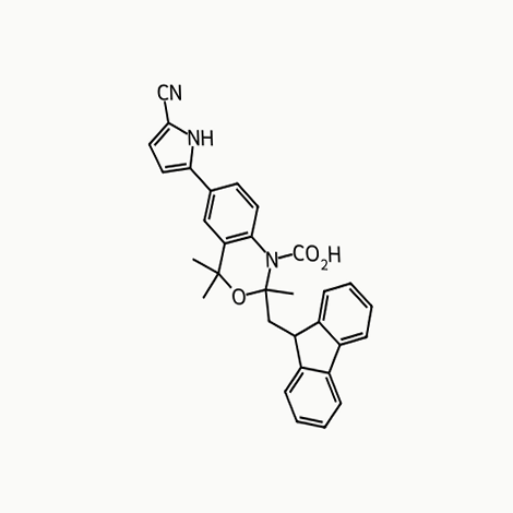 CC1(C)OC(C)(CC2c3ccccc3-c3ccccc32)N(C(=O)O)c2ccc(-c3ccc(C#N)[nH]3)cc21